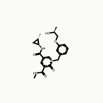 CNC(=O)c1cc(C(=O)N[C@H]2C[C@@H]2C)cn(Cc2cccc(OC[C@H](C)O)c2)c1=O